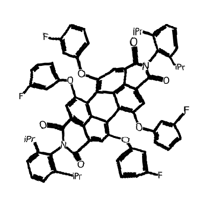 CC(C)c1cccc(C(C)C)c1N1C(=O)c2cc(Oc3cccc(F)c3)c3c4c(Oc5cccc(F)c5)cc5c6c(cc(Oc7cccc(F)c7)c(c7c(Oc8cccc(F)c8)cc(c2c37)C1=O)c64)C(=O)N(c1c(C(C)C)cccc1C(C)C)C5=O